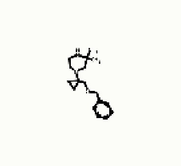 CC1(C)CN(C2(COCc3ccccc3)CC2)CCN1